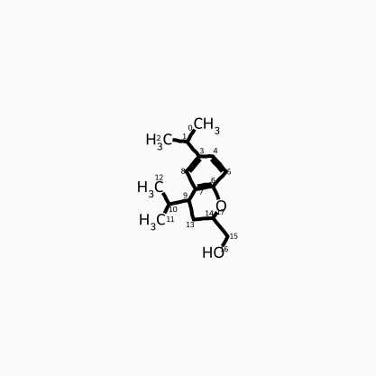 CC(C)c1ccc2c(c1)C(C(C)C)CC(CO)O2